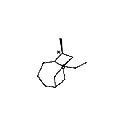 CCS12CC3CCCC1[C@@H](C)C2C3